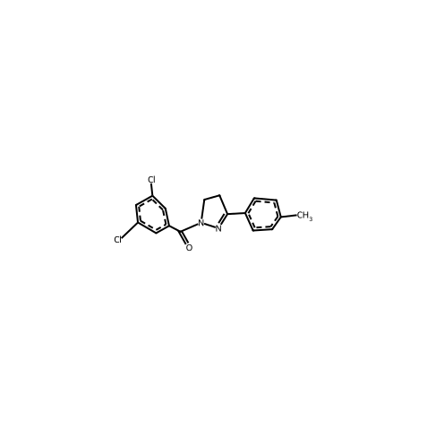 Cc1ccc(C2=NN(C(=O)c3cc(Cl)cc(Cl)c3)CC2)cc1